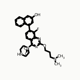 CN(C)CCCOc1nc(N2CC3CCCC2CN3)c2ccc(-c3cc(O)cc4ccccc34)c(F)c2n1